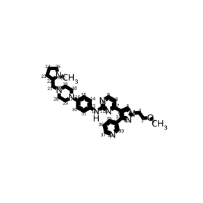 COCCn1cc(-c2ccnc(Nc3ccc(N4CCN(CC5CCCN5C)CC4)cc3)n2)c(-c2cccnc2)n1